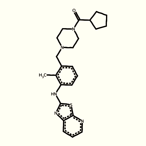 Cc1c(CN2CCN(C(=O)C3CCCC3)CC2)cccc1Nc1nc2cccnc2s1